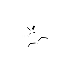 CCNCC.NP(=O)(O)O